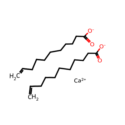 C=CCCCCCCCCC(=O)[O-].C=CCCCCCCCCC(=O)[O-].[Ca+2]